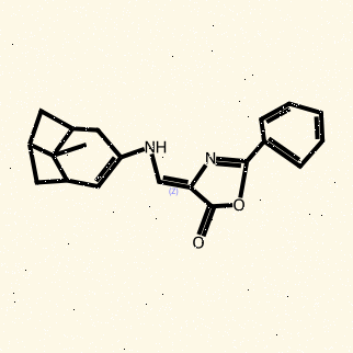 CC12C3C=C(N/C=C4\N=C(c5ccccc5)OC4=O)CC1CC2C3